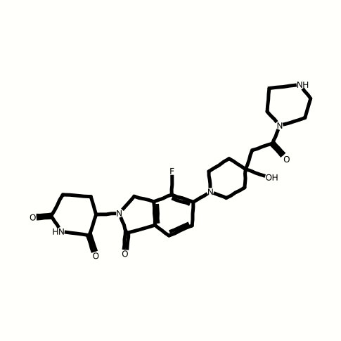 O=C1CCC(N2Cc3c(ccc(N4CCC(O)(CC(=O)N5CCNCC5)CC4)c3F)C2=O)C(=O)N1